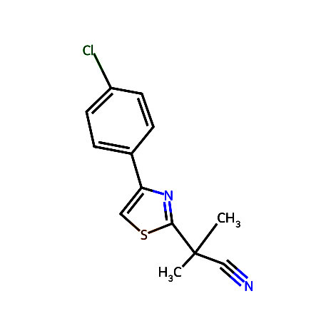 CC(C)(C#N)c1nc(-c2ccc(Cl)cc2)cs1